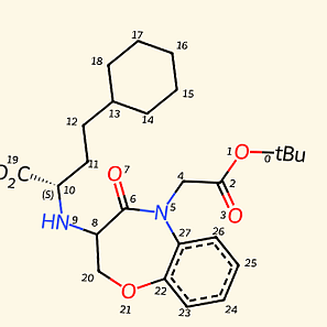 CC(C)(C)OC(=O)CN1C(=O)C(N[C@@H](CCC2CCCCC2)C(=O)O)COc2ccccc21